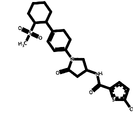 CS(=O)(=O)C1CCCCC1C1=CC=C(N2CC(NC(=O)c3ccc(Cl)s3)CC2=O)CC1